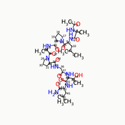 CC(=O)N[C@@H](C)C(=O)N[C@@H](CC(C)C)C(=O)N1CCC[C@H]1C(=O)N[C@@H](C)C(=O)N1CCC[C@@H]1C(=O)NCC(=O)N[C@H](C(=O)N[C@@H](CC(C)C)C(N)=O)[C@@H](C)O